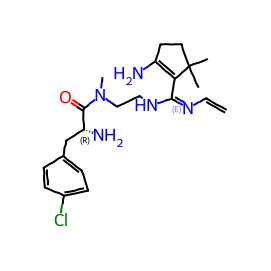 C=C/N=C(/NCCN(C)C(=O)[C@H](N)Cc1ccc(Cl)cc1)C1=C(N)CCC1(C)C